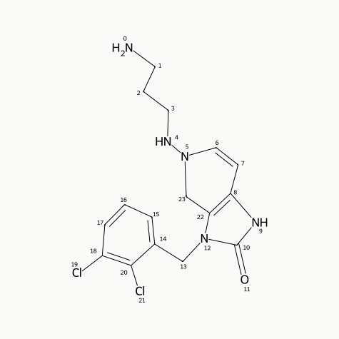 NCCCNN1C=Cc2[nH]c(=O)n(Cc3cccc(Cl)c3Cl)c2C1